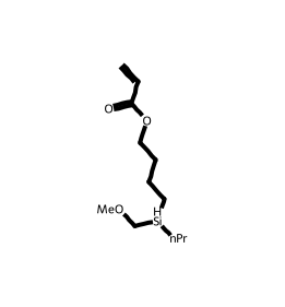 C=CC(=O)OCCCC[SiH](CCC)COC